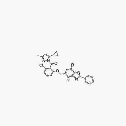 Cc1cc(C2CC2)n(C(=O)c2c(Cl)cccc2OCc2cc(=O)n3nc(-c4ccccc4)nc3[nH]2)n1